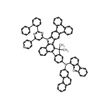 CC1(C)c2cc(N(c3ccc4c(ccc5ccccc54)c3)c3cccc4c3oc3ccccc34)ccc2-c2c1c1c3cc4c5ccccc5c5ccccc5c4cc3n(-c3cc(-c4ccncc4)nc(-c4ccccc4-c4ccccc4)n3)c1c1ccccc21